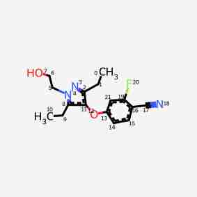 CCc1nn(CCO)c(CC)c1Oc1ccc(C#N)c(F)c1